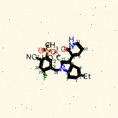 CCc1ccc2c(c1)c(-c1ccc[nH]c1=O)c(C(=O)O)n2Cc1cc(S(C)(=O)=O)c(C#N)cc1F